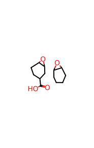 C1CCC2OC2C1.O=C(O)C1CCC2OC2C1